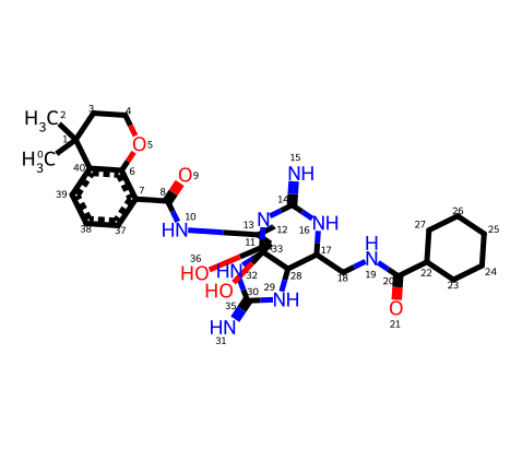 CC1(C)CCOc2c(C(=O)NC3CN4C(=N)NC(CNC(=O)C5CCCCC5)C5NC(=N)N[C@@]54C3(O)O)cccc21